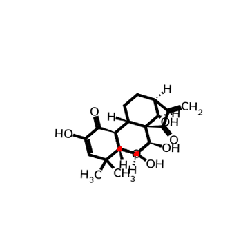 C=C1C(=O)[C@]23[C@H](O)[C@H]1CC[C@H]2[C@@]12CO[C@]3(O)[C@@H](O)[C@@H]1C(C)(C)C=C(O)C2=O